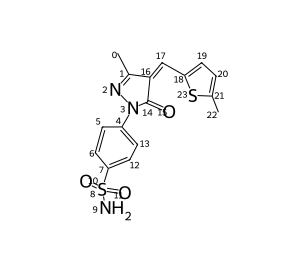 CC1=NN(c2ccc(S(N)(=O)=O)cc2)C(=O)C1=Cc1ccc(C)s1